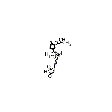 CC(C)COc1cc(C(C)NS(=O)(=O)CC/C=C/CN2CC(=O)NC2=O)ccc1F